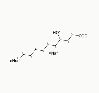 CCCCCCCCCCCCCCCC(O)CCC(=O)[O-].[Na+]